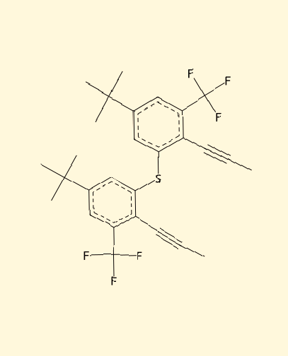 CC#Cc1c(Sc2cc(C(C)(C)C)cc(C(F)(F)F)c2C#CC)cc(C(C)(C)C)cc1C(F)(F)F